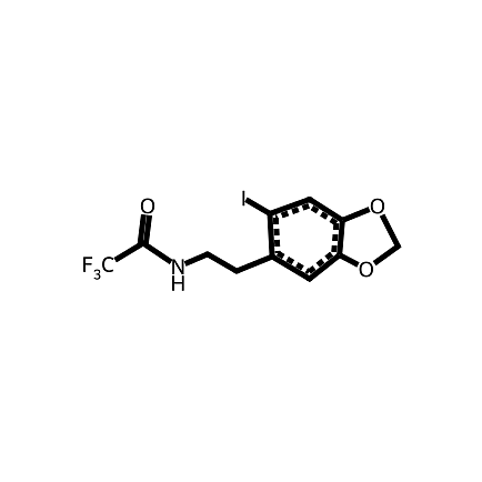 O=C(NCCc1cc2c(cc1I)OCO2)C(F)(F)F